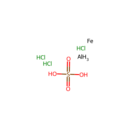 Cl.Cl.Cl.O=S(=O)(O)O.[AlH3].[Fe]